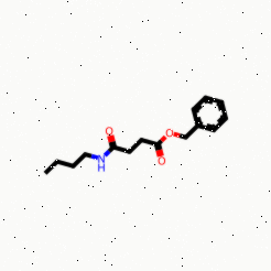 CCCCNC(=O)CCC(=O)OCc1ccccc1